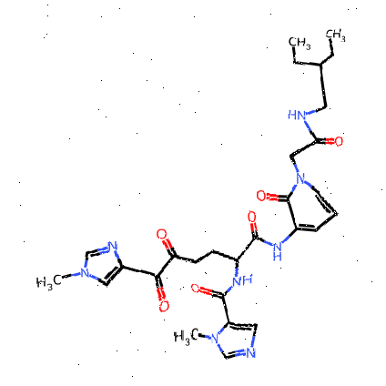 CCC(CC)CNC(=O)Cn1cccc(NC(=O)C(CCC(=O)C(=O)c2cn(C)cn2)NC(=O)c2cncn2C)c1=O